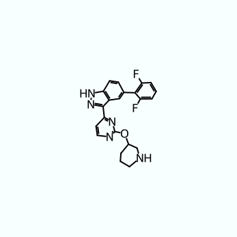 Fc1cccc(F)c1-c1ccc2[nH]nc(-c3ccnc(OC4CCCNC4)n3)c2c1